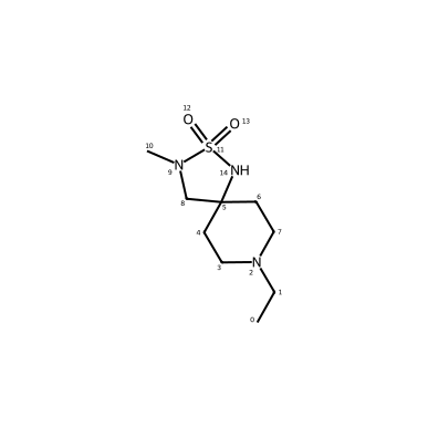 CCN1CCC2(CC1)CN(C)S(=O)(=O)N2